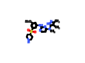 COc1cc(Nc2nccc(N(C)c3[nH]nc(C)c3C)n2)cc(S(=O)(=O)C2CCNCC2)c1